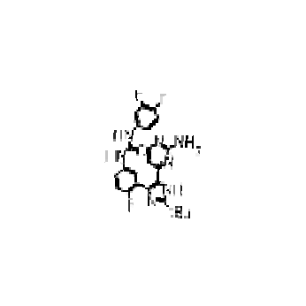 CC(C)(C)c1nc(-c2cc(NC(=O)Nc3ccc(F)c(F)c3)ccc2F)c(-c2ccnc(N)n2)[nH]1